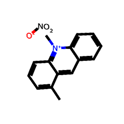 Cc1cccc2c1cc1ccccc1[n+]2C.O=[N+]([O-])[O-]